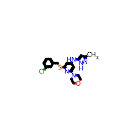 Cc1cc(Nc2cc(SCc3cccc(Cl)c3)nc(N3CCOCC3)c2)[nH]n1